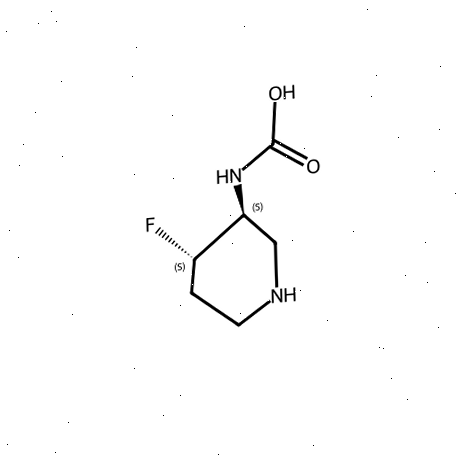 O=C(O)N[C@H]1CNCC[C@@H]1F